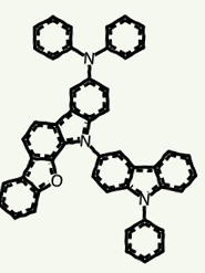 c1ccc(N(c2ccccc2)c2ccc3c(c2)c2ccc4c5ccccc5oc4c2n3-c2ccc3c(c2)c2ccccc2n3-c2ccccc2)cc1